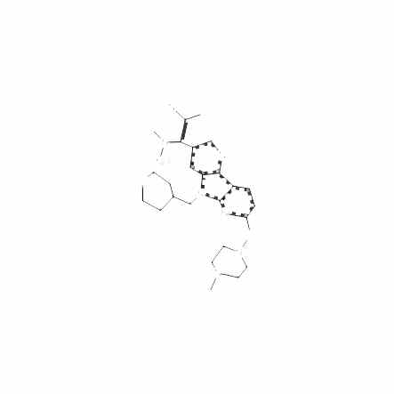 C/C(N)=C(\c1cnc2c3ccc(SN4CCN(C)CC4)nc3n(CC3CCOCC3)c2c1)N(C)N